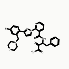 NC(=O)C(=O)C(Cc1ccccc1)NC(=O)c1cccnc1-n1ccc(-c2ccc(F)cc2CN2CCOCC2)n1